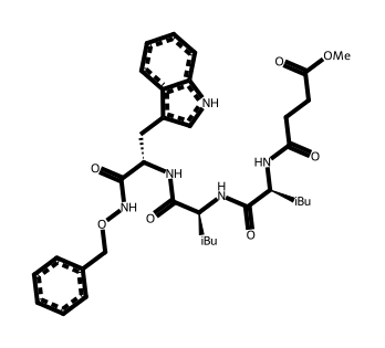 CCC(C)[C@H](NC(=O)CCC(=O)OC)C(=O)N[C@H](C(=O)N[C@@H](Cc1c[nH]c2ccccc12)C(=O)NOCc1ccccc1)C(C)CC